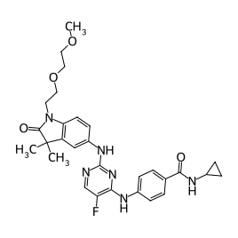 COCCOCCN1C(=O)C(C)(C)c2cc(Nc3ncc(F)c(Nc4ccc(C(=O)NC5CC5)cc4)n3)ccc21